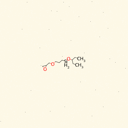 CCC(CC)O[SiH2]CCCOCC1CO1